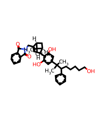 CC(C)(c1cc(O)c([C@H]2C=C(CN3C(=O)c4ccccc4C3=O)[C@H]3C[C@@H]2C3(C)C)c(O)c1)C(CCCCCO)c1ccccc1